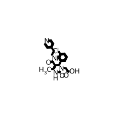 CC1=C(C(=O)NCCc2ccncc2)C(c2cccc(Cl)c2)N(CC(=O)O)C(=O)N1